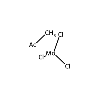 CC(C)=O.[Cl][Mo]([Cl])[Cl]